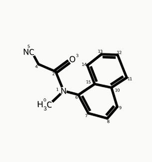 CN(C(=O)CC#N)c1cccc2ccccc12